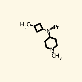 CC(C)N(C1CCN(C)CC1)[C@H]1C[C@H](C)C1